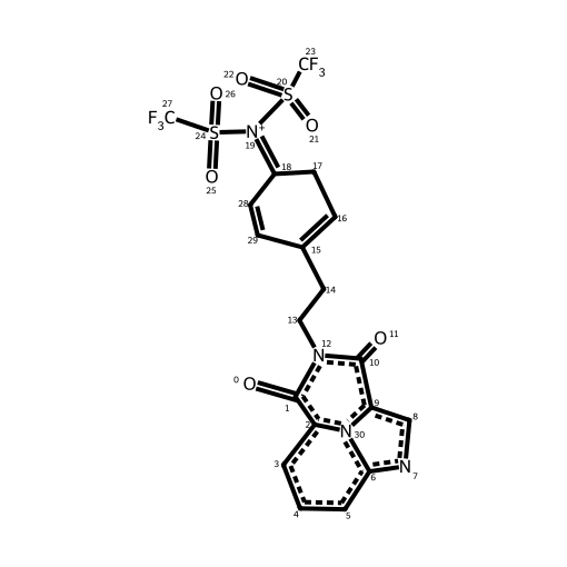 O=c1c2cccc3ncc(c(=O)n1CCC1=CCC(=[N+](S(=O)(=O)C(F)(F)F)S(=O)(=O)C(F)(F)F)C=C1)n32